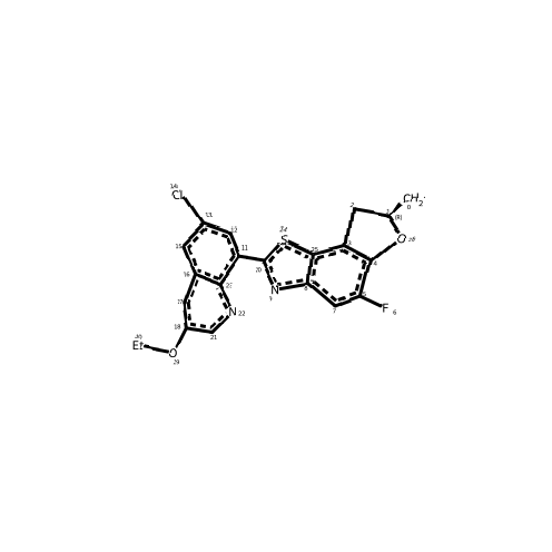 [CH2][C@@H]1Cc2c(c(F)cc3nc(-c4cc(Cl)cc5cc(OCC)cnc45)sc23)O1